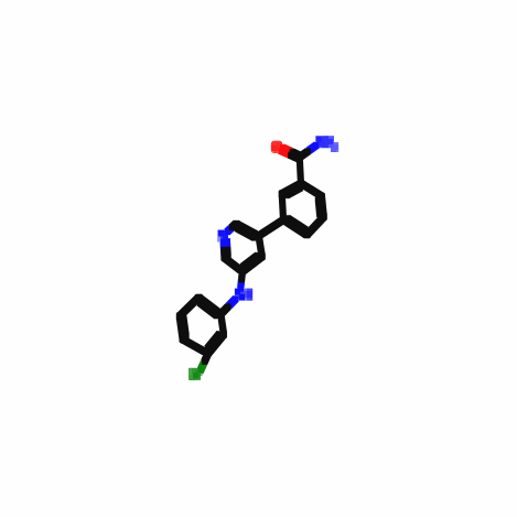 NC(=O)c1cccc(-c2cncc(Nc3cccc(Br)c3)c2)c1